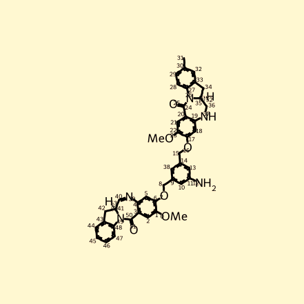 COc1cc2c(cc1OCc1cc(N)cc(COc3cc4c(cc3OC)C(=O)N3c5ccc(C)cc5C[C@H]3CN4)c1)N=C[C@@H]1Cc3ccccc3N1C2=O